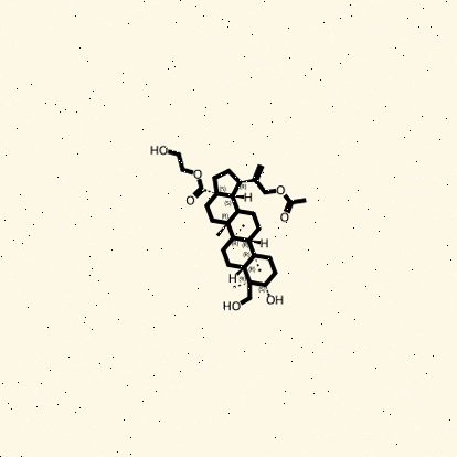 C=C(COC(C)=O)[C@@H]1CC[C@]2(C(=O)OCCO)CC[C@]3(C)C(CC[C@@H]4[C@@]5(C)CC[C@H](O)[C@@](C)(CO)[C@@H]5CC[C@]43C)[C@@H]12